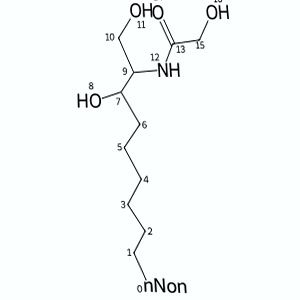 CCCCCCCCCCCCCCCC(O)C(CO)NC(=O)CO